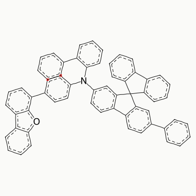 c1ccc(-c2ccc3c(c2)C2(c4ccccc4-c4ccccc42)c2cc(N(c4ccc(-c5cccc6c5oc5ccccc56)cc4)c4ccccc4-c4ccccc4)ccc2-3)cc1